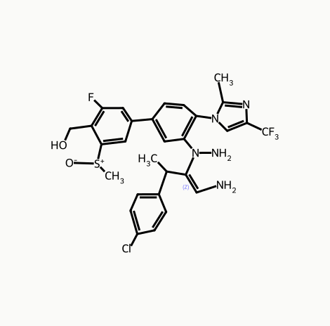 Cc1nc(C(F)(F)F)cn1-c1ccc(-c2cc(F)c(CO)c([S+](C)[O-])c2)cc1N(N)/C(=C\N)C(C)c1ccc(Cl)cc1